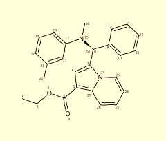 CCOC(=O)c1cc([C@H](c2ccccc2)N(C)c2cccc(C)c2)n2ccccc12